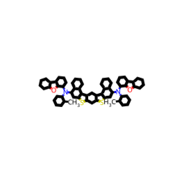 Cc1ccccc1N(c1cc2sc3cc4sc5cc(N(c6ccccc6C)c6cccc7c6oc6ccccc67)c6ccccc6c5c4cc3c2c2ccccc12)c1cccc2c1oc1ccccc12